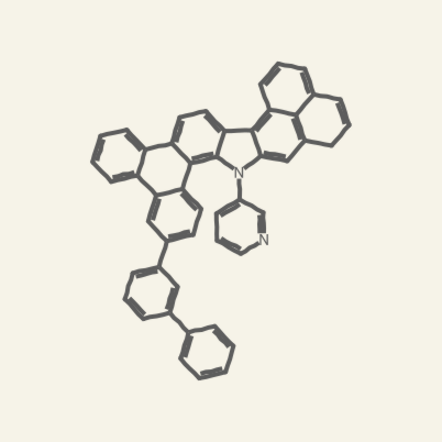 C1=Cc2cccc3c2c(cc2c3c3ccc4c5ccccc5c5cc(-c6cccc(-c7ccccc7)c6)ccc5c4c3n2-c2cccnc2)C1